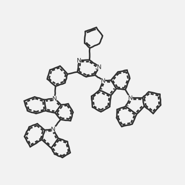 C1=CCCC(c2nc(-c3cccc(-n4c5ccccc5c5c(-n6c7ccccc7c7ccccc76)cccc54)c3)cc(-n3c4ccccc4c4c(-n5c6ccccc6c6ccccc65)cccc43)n2)=C1